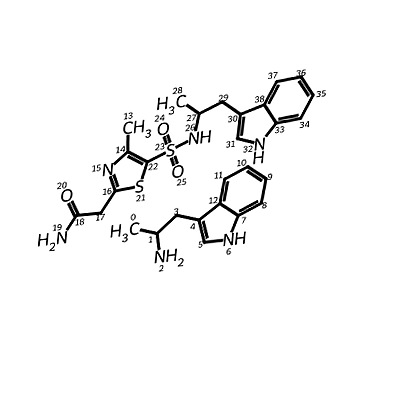 CC(N)Cc1c[nH]c2ccccc12.Cc1nc(CC(N)=O)sc1S(=O)(=O)NC(C)Cc1c[nH]c2ccccc12